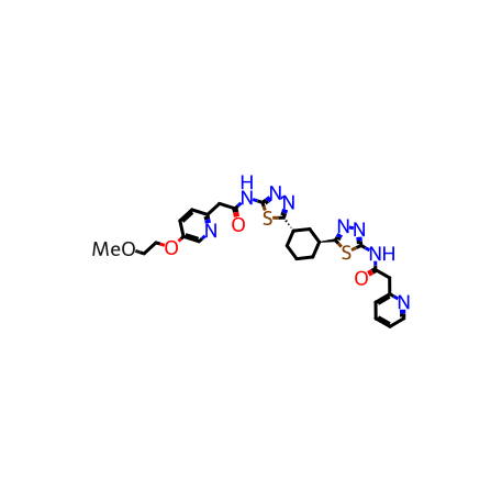 COCCOc1ccc(CC(=O)Nc2nnc([C@H]3CCC[C@H](c4nnc(NC(=O)Cc5ccccn5)s4)C3)s2)nc1